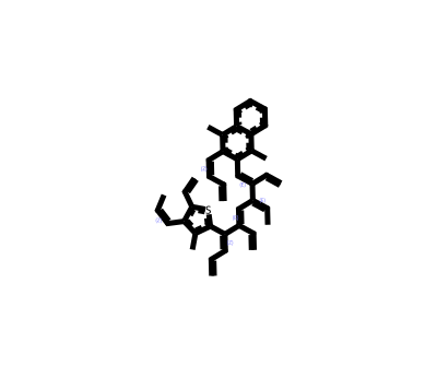 C=C/C=C\c1c(/C=C(C=C)/C(/C=C(C=C)/C(=C/C=C)c2sc(C=C)c(/C=C\C)c2C)=C/C)c(C)c2ccccc2c1C